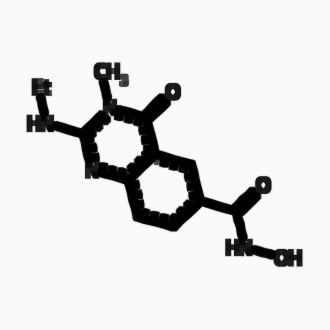 CCNc1nc2ccc(C(=O)NO)cc2c(=O)n1C